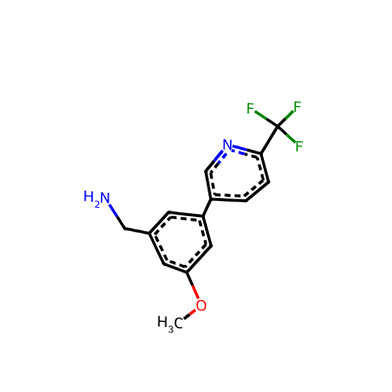 COc1cc(CN)cc(-c2ccc(C(F)(F)F)nc2)c1